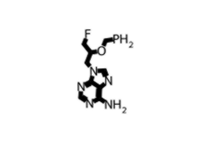 Nc1ncnc2c1ncn2CC(CF)OCP